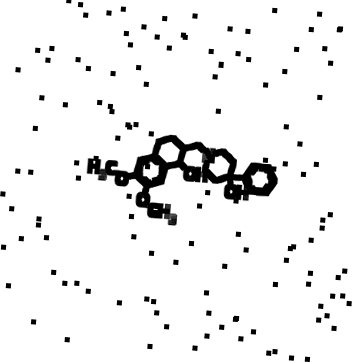 COc1cc2c(cc1OC)C(O)C(CN1CCC(O)(c3ccccc3)CC1)CC2